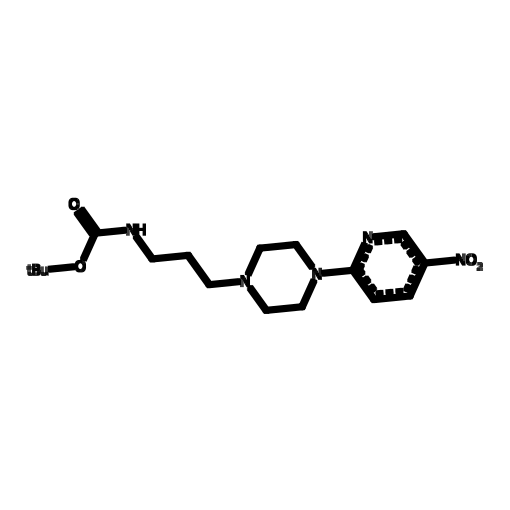 CC(C)(C)OC(=O)NCCCN1CCN(c2ccc([N+](=O)[O-])cn2)CC1